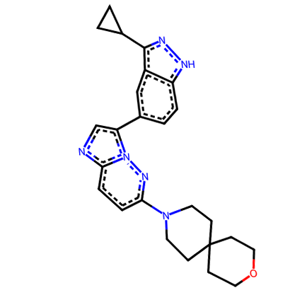 c1cc2[nH]nc(C3CC3)c2cc1-c1cnc2ccc(N3CCC4(CCOCC4)CC3)nn12